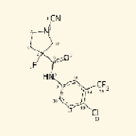 N#CN1CCC(F)(C(=O)Nc2ccc(Cl)c(C(F)(F)F)c2)C1